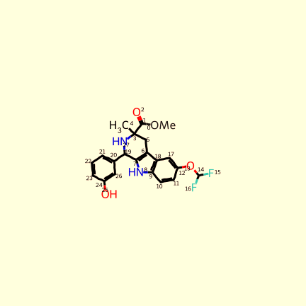 COC(=O)C1(C)Cc2c([nH]c3ccc(OC(F)F)cc23)C(c2cccc(O)c2)N1